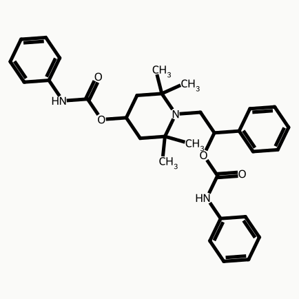 CC1(C)CC(OC(=O)Nc2ccccc2)CC(C)(C)N1CC(OC(=O)Nc1ccccc1)c1ccccc1